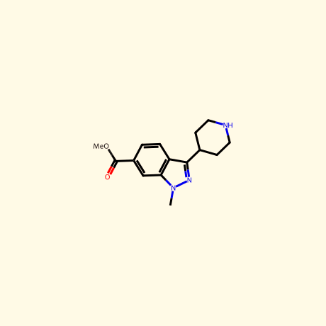 COC(=O)c1ccc2c(C3CCNCC3)nn(C)c2c1